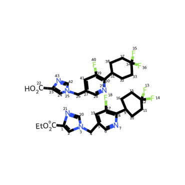 CCOC(=O)c1cn(Cc2cnc(C3CCC(F)(F)CC3)c(F)c2)cn1.O=C(O)c1cn(Cc2cnc(C3CCC(F)(F)CC3)c(F)c2)cn1